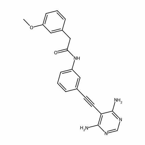 COc1cccc(CC(=O)Nc2cccc(C#Cc3c(N)ncnc3N)c2)c1